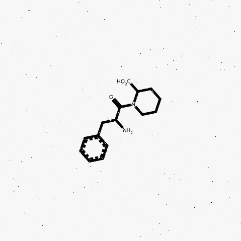 NC(Cc1ccccc1)C(=O)N1CCCCC1C(=O)O